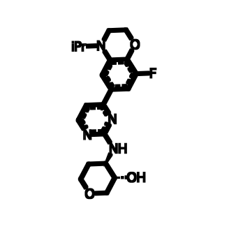 CC(C)N1CCOc2c(F)cc(-c3ccnc(N[C@@H]4CCOC[C@H]4O)n3)cc21